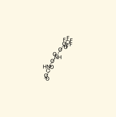 CC(=O)OCc1ccc(NC(=O)CCOCCNC(=O)CCCOCCC(=O)Oc2c(F)c(F)c(F)c(F)c2F)cc1